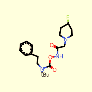 CC(C)(C)N(CCc1ccccc1)C(=O)ONC(=O)CN1CCC(F)CC1